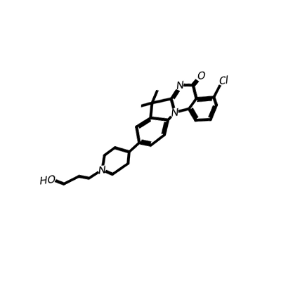 CC1(C)c2cc(C3CCN(CCCO)CC3)ccc2-n2c1nc(=O)c1c(Cl)cccc12